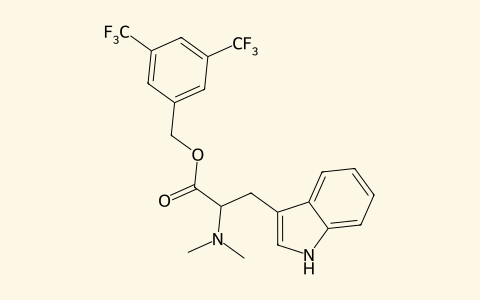 CN(C)C(Cc1c[nH]c2ccccc12)C(=O)OCc1cc(C(F)(F)F)cc(C(F)(F)F)c1